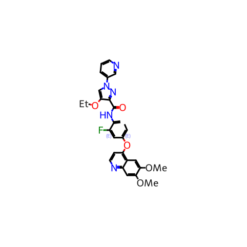 C=C(NC(=O)c1nn(-c2cccnc2)cc1OCC)/C(F)=C\C(=C/C)Oc1ccnc2cc(OC)c(OC)cc12